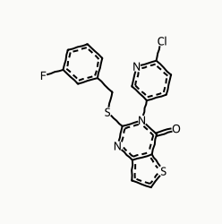 O=c1c2sccc2nc(SCc2cccc(F)c2)n1-c1ccc(Cl)nc1